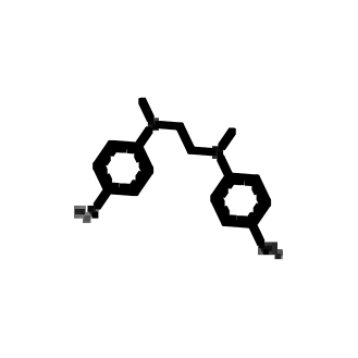 CN(CCN(C)c1ccc(N)cc1)c1ccc(N)cc1